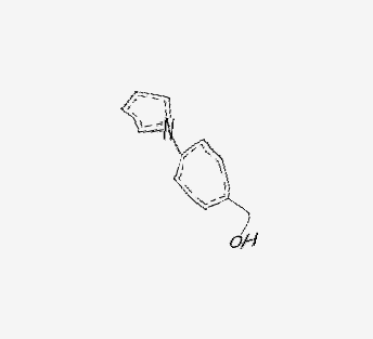 OCc1ccc(-n2cccc2)cc1